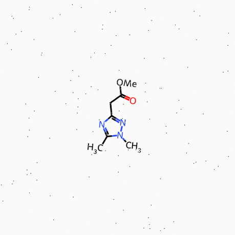 COC(=O)Cc1nc(C)n(C)n1